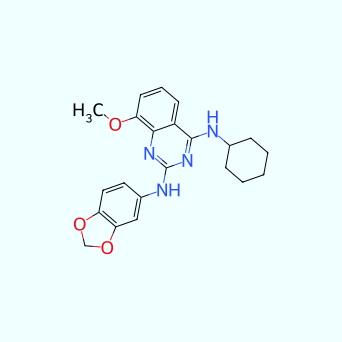 COc1cccc2c(NC3CCCCC3)nc(Nc3ccc4c(c3)OCO4)nc12